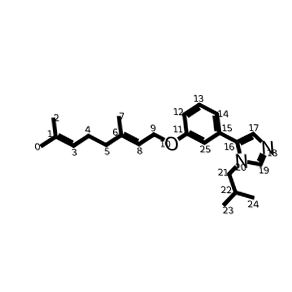 CC(C)=CCC/C(C)=C/COc1cccc(-c2cncn2CC(C)C)c1